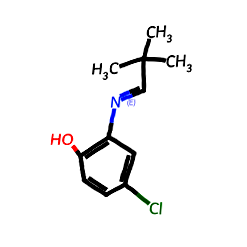 CC(C)(C)/C=N/c1cc(Cl)ccc1O